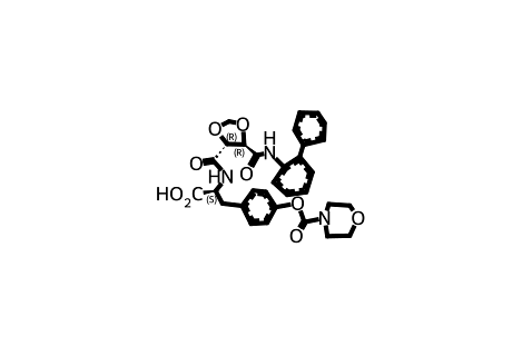 O=C(O)[C@H](Cc1ccc(OC(=O)N2CCOCC2)cc1)NC(=O)[C@@H]1OCO[C@H]1C(=O)Nc1ccccc1-c1ccccc1